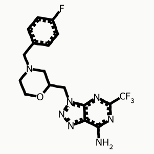 Nc1nc(C(F)(F)F)nc2c1nnn2CC1CN(Cc2ccc(F)cc2)CCO1